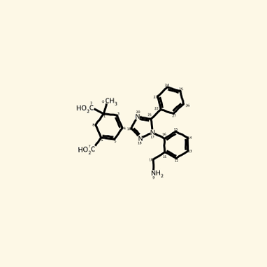 CC1(C(=O)O)C=CC=C(C(=O)O)C1.NCc1ccccc1-n1ncnc1-c1ccccc1